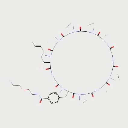 C/C=C/C[C@@H](C)[C@@H](O)[C@H]1C(=O)N[C@@H](CC)C(=O)N(C)C(Cc2ccc(C(=O)NCCOCCN)cc2)C(=O)N(C)[C@@H](CC(C)C)C(=O)N[C@@H](C(C)C)C(=O)N(C)[C@@H](CC(C)C)C(=O)N[C@@H](C)C(=O)N[C@H](C)C(=O)N(C)[C@@H](CC(C)C)C(=O)N(C)[C@@H](CC(C)C)C(=O)N(C)[C@@H](C(C)C)C(=O)N1C